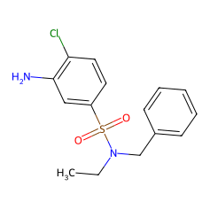 CCN(Cc1ccccc1)S(=O)(=O)c1ccc(Cl)c(N)c1